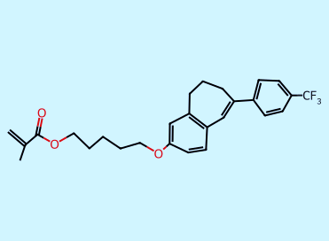 C=C(C)C(=O)OCCCCCOc1ccc2c(c1)CCCC(c1ccc(C(F)(F)F)cc1)=C2